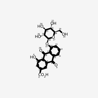 O=C(O)c1cc(O)c2c(c1)C(=O)c1cccc(O[C@@H]3O[C@H](CO)[C@@H](O)[C@H](O)[C@H]3O)c1C2=O